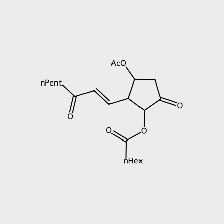 CCCCCCC(=O)OC1C(=O)CC(OC(C)=O)C1C=CC(=O)CCCCC